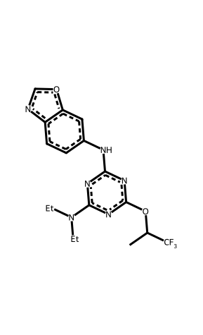 CCN(CC)c1nc(Nc2ccc3ncoc3c2)nc(OC(C)C(F)(F)F)n1